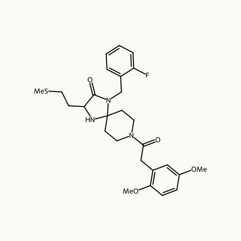 COc1ccc(OC)c(CC(=O)N2CCC3(CC2)NC(CCSC)C(=O)N3Cc2ccccc2F)c1